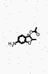 CC(=O)O[C@H]1c2ccc(N)cc2OC1C